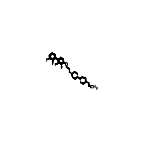 CCC[C@H]1CC[C@H]([C@H]2CC[C@H](CCCOc3ccc(-c4cccc(F)c4F)c(F)c3F)CC2)CC1